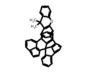 CC1(C)c2ccccc2Oc2cc(-c3cccc4c3C3(c5ccccc5-4)c4ccccc4-c4cccc5cccc3c45)ccc21